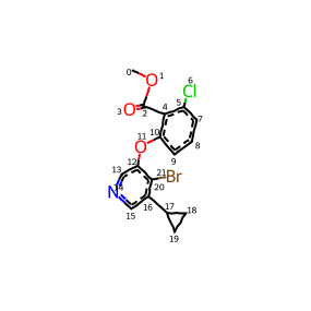 COC(=O)c1c(Cl)cccc1Oc1cncc(C2CC2)c1Br